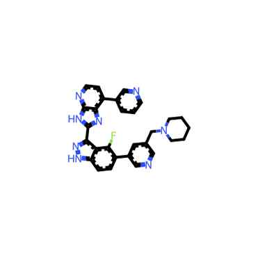 Fc1c(-c2cncc(CN3CCCCC3)c2)ccc2[nH]nc(-c3nc4c(-c5cccnc5)ccnc4[nH]3)c12